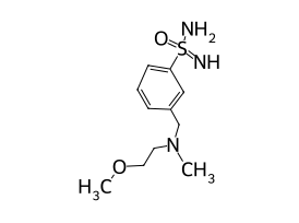 COCCN(C)Cc1cccc(S(=N)(N)=O)c1